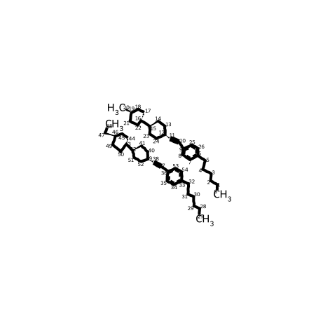 CCCCCCc1ccc(C#C[C@H]2CC[C@H]([C@H]3CC[C@H](C)CC3)CC2)cc1.CCCCCCc1ccc(C#C[C@H]2CC[C@H]([C@H]3CC[C@H](CC)CC3)CC2)cc1